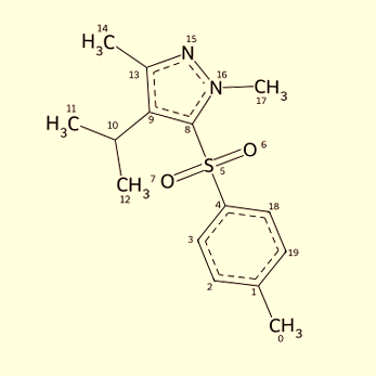 Cc1ccc(S(=O)(=O)c2c(C(C)C)c(C)nn2C)cc1